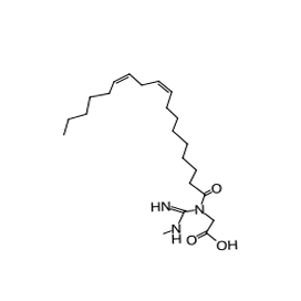 CCCCC/C=C\C/C=C\CCCCCCCC(=O)N(CC(=O)O)C(=N)NC